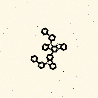 c1ccc(-c2cccc(-n3c4ccccc4c4cc(-c5cc6c7ccccc7sc6c6c5c5ccccc5n6-c5cccc(-c6ccccc6)c5)ccc43)c2)cc1